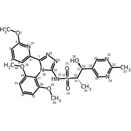 COc1cccc(-c2nnc(NS(=O)(=O)[C@@H](C)[C@@H](O)c3cnc(C)nc3)n2-c2c(OC)cccc2OC)n1